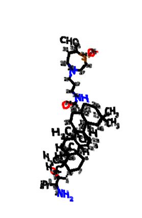 CC(C)[C@H](N)C(=O)C[C@H]1CCC2(C)[C@H]3CC=C4[C@@H]5CC(C)(C)CC[C@]5(C(=O)NCCCN5CCC(C=O)[S+]([O-])CC5)CC[C@@]4(C)[C@]3(C)CC[C@H]2C1(C)C